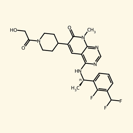 C[C@@H](Nc1ncnc2c1cc(C1CCN(C(=O)CO)CC1)c(=O)n2C)c1cccc(C(F)F)c1F